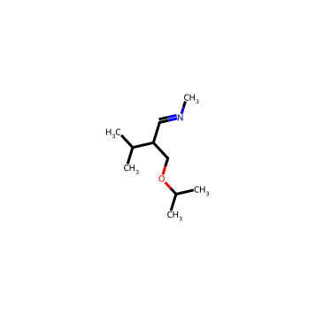 C/N=C/C(COC(C)C)C(C)C